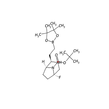 CC(C)(C)OC(=O)N1[C@H]2CC[C@]1(F)CN[C@@H]2CCB1OC(C)(C)C(C)(C)O1